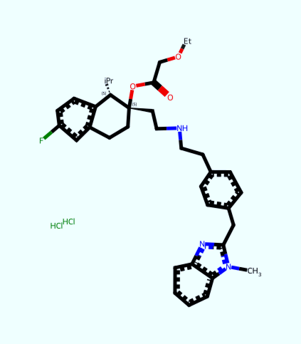 CCOCC(=O)O[C@]1(CCNCCc2ccc(Cc3nc4ccccc4n3C)cc2)CCc2cc(F)ccc2[C@@H]1C(C)C.Cl.Cl